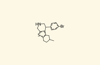 CC1CCc2sc3c(c2C1)C(c1ccc(Br)cc1)CNC3